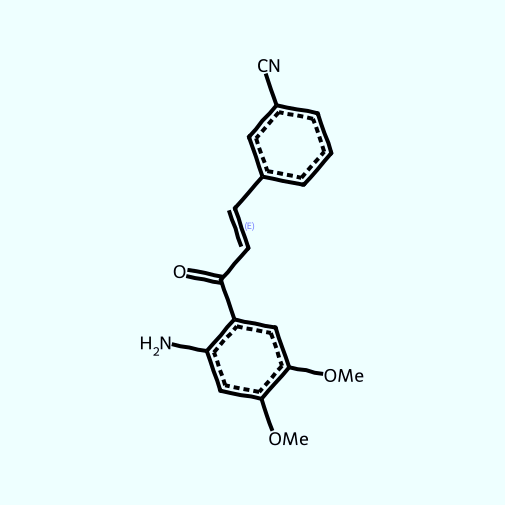 COc1cc(N)c(C(=O)/C=C/c2cccc(C#N)c2)cc1OC